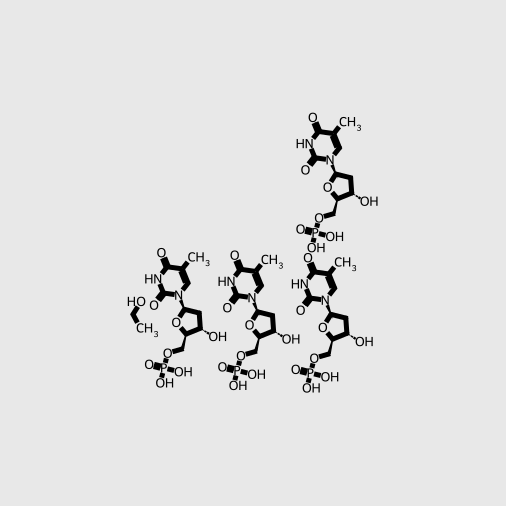 CCO.Cc1cn([C@H]2C[C@H](O)[C@@H](COP(=O)(O)O)O2)c(=O)[nH]c1=O.Cc1cn([C@H]2C[C@H](O)[C@@H](COP(=O)(O)O)O2)c(=O)[nH]c1=O.Cc1cn([C@H]2C[C@H](O)[C@@H](COP(=O)(O)O)O2)c(=O)[nH]c1=O.Cc1cn([C@H]2C[C@H](O)[C@@H](COP(=O)(O)O)O2)c(=O)[nH]c1=O